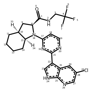 O=C(NCC(F)(F)F)[C@@H]1C[C@@H]2CCCC[C@@H]2N1c1ccnc(-c2c[nH]c3ncc(Cl)cc23)n1